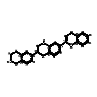 C1=C(c2ccc3c(c2)SCC(c2ccc4c(c2)CCSC4)C3)Oc2ccccc2C1